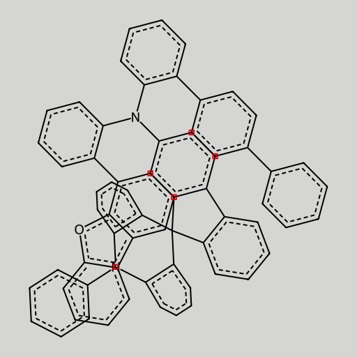 c1ccc(-c2ccc(-c3ccccc3N(c3ccc4c(c3)C3(c5ccccc5-4)c4ccccc4N(c4ccccc4)c4ccccc43)c3ccccc3-c3cccc4c3oc3ccccc34)cc2)cc1